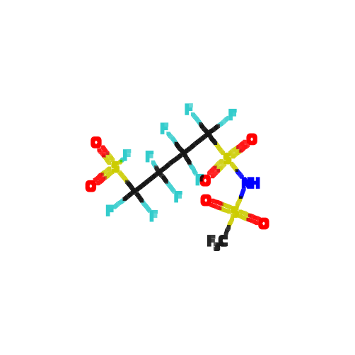 O=S(=O)(F)C(F)(F)C(F)(F)C(F)(F)C(F)(F)S(=O)(=O)NS(=O)(=O)C(F)(F)F